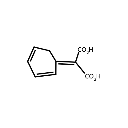 O=C(O)C(C(=O)O)=C1C=CC=CC1